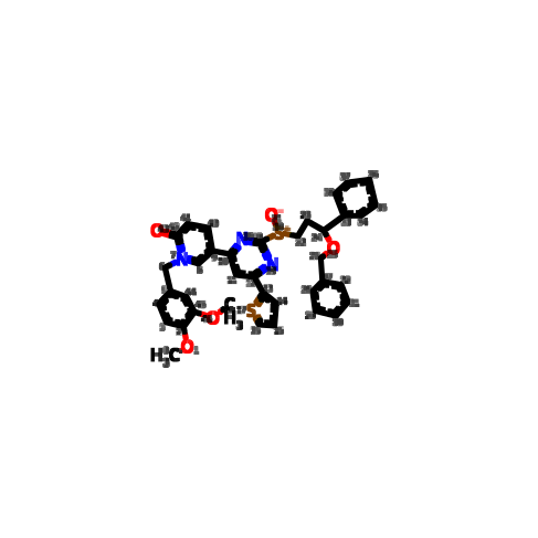 COc1ccc(Cn2cc(-c3cc(-c4cccs4)nc([S+]([O-])CCC(OCc4ccccc4)c4ccccc4)n3)ccc2=O)cc1OC